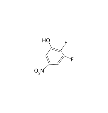 O=[N+]([O-])c1cc(O)c(F)c(F)c1